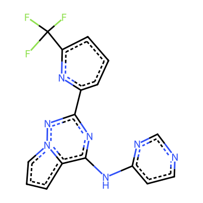 FC(F)(F)c1cccc(-c2nc(Nc3ccncn3)c3cccn3n2)n1